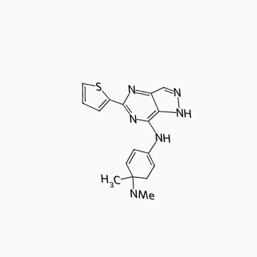 CNC1(C)C=CC(Nc2nc(-c3cccs3)nc3cn[nH]c23)=CC1